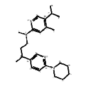 Cc1cc(N(C)CCC(C)c2ccc(N3CCCCC3)nc2)ncc1C(C)C